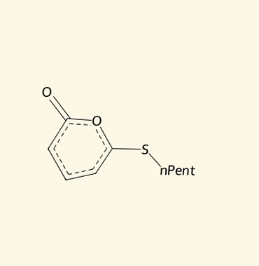 CCCCCSc1cccc(=O)o1